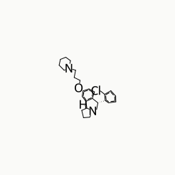 Clc1ccccc1[C@@H]1CN2CCC[C@H]2c2cc(OCCCN3CCCCC3)ccc21